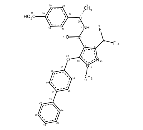 C[C@H](NC(=O)c1c(C(F)F)nn(C)c1Oc1ccc(-c2ccccc2)cc1)c1ccc(C(=O)O)cc1